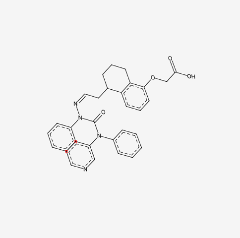 O=C(O)COc1cccc2c1CCCC2C/C=N\N(C(=O)N(c1ccccc1)c1cccnc1)c1ccccc1